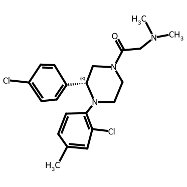 Cc1ccc(N2CCN(C(=O)CN(C)C)C[C@H]2c2ccc(Cl)cc2)c(Cl)c1